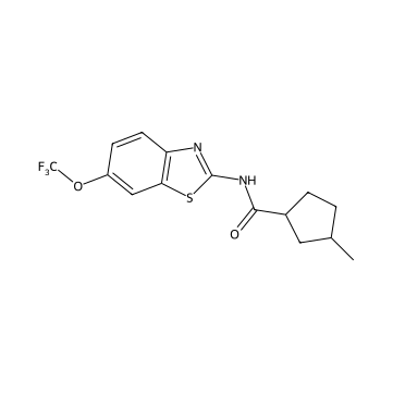 CC1CCC(C(=O)Nc2nc3ccc(OC(F)(F)F)cc3s2)C1